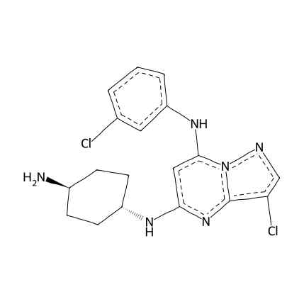 N[C@H]1CC[C@H](Nc2cc(Nc3cccc(Cl)c3)n3ncc(Cl)c3n2)CC1